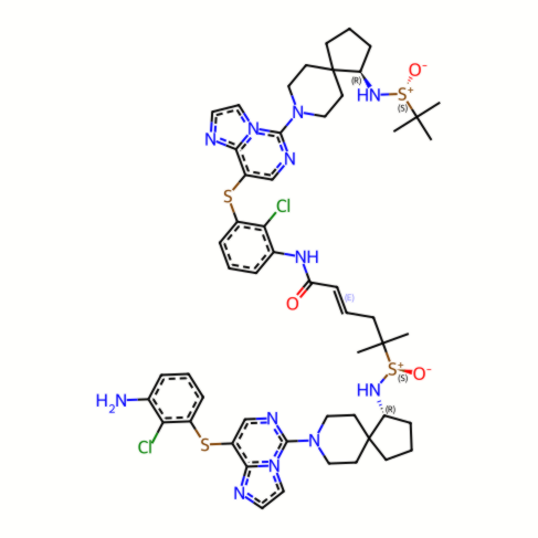 CC(C)(C)[S@@+]([O-])N[C@@H]1CCCC12CCN(c1ncc(Sc3cccc(NC(=O)/C=C/CC(C)(C)[S@@+]([O-])N[C@@H]4CCCC45CCN(c4ncc(Sc6cccc(N)c6Cl)c6nccn46)CC5)c3Cl)c3nccn13)CC2